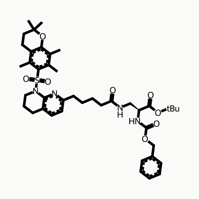 Cc1c(C)c(S(=O)(=O)N2CCCc3ccc(CCCCC(=O)NC[C@H](NC(=O)OCc4ccccc4)C(=O)OC(C)(C)C)nc32)c(C)c2c1OC(C)(C)CC2